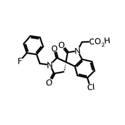 O=C(O)CN1C(=O)[C@@]2(CC(=O)N(Cc3ccccc3F)C2=O)c2cc(Cl)ccc21